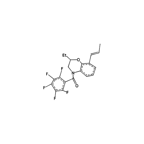 C/C=C/c1cccc2c1OC(CC)CN2C(=O)c1c(F)c(F)c(F)c(F)c1F